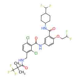 CC(C)(C(=O)NCc1ccc(Cl)c(C(=O)Nc2ccc(OCC(F)F)c(C(=O)NC3CCC(C(F)F)CC3)c2)c1Cl)C(F)(F)F